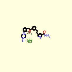 Cl.Cl.NC(=O)c1cncc(CCc2cccc(C(=O)Cc3cccc(N4CCNCC4)c3C(F)(F)F)c2)c1